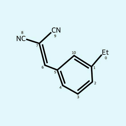 CCc1cccc(C=C(C#N)C#N)c1